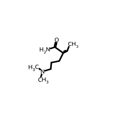 CC=C(CCCN(C)C)C(N)=O